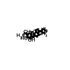 CN(C)[C@H]1C[C@@]23CC[C@@]4(O2)C(=CC[C@]2(C)C(c5ccncc5)=CCC24)CC3(F)[C@@H](O)[C@@H]1O